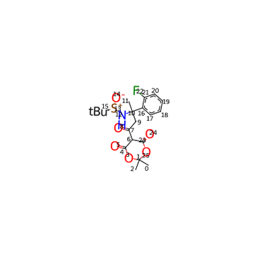 CC1(C)OC(=O)C(C(=O)CC(C)(N[S@+]([O-])C(C)(C)C)c2ccccc2F)C(=O)O1